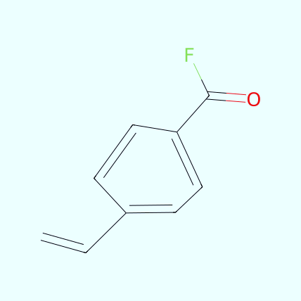 C=Cc1ccc(C(=O)F)cc1